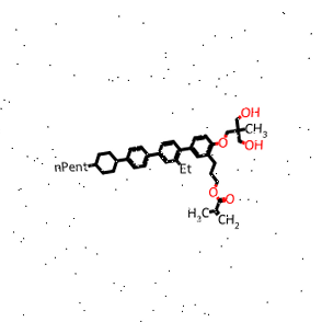 C=C(C)C(=O)OCCCc1cc(-c2ccc(-c3ccc(C4CCC(CCCCC)CC4)cc3)cc2CC)ccc1OCC(C)(CO)CO